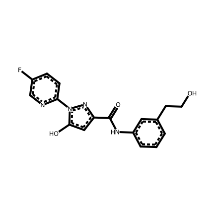 O=C(Nc1cccc(CCO)c1)c1cc(O)n(-c2ccc(F)cn2)n1